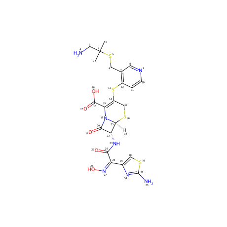 CC(C)(CN)SCc1cnccc1SC1=C(C(=O)O)N2C(=O)[C@@H](NC(=O)/C(=N\O)c3csc(N)n3)[C@@H]2SC1